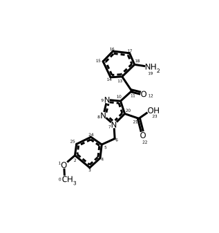 COc1ccc(Cn2nnc(C(=O)c3ccccc3N)c2C(=O)O)cc1